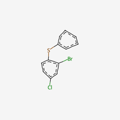 Clc1ccc(Sc2ccccc2)c(Br)c1